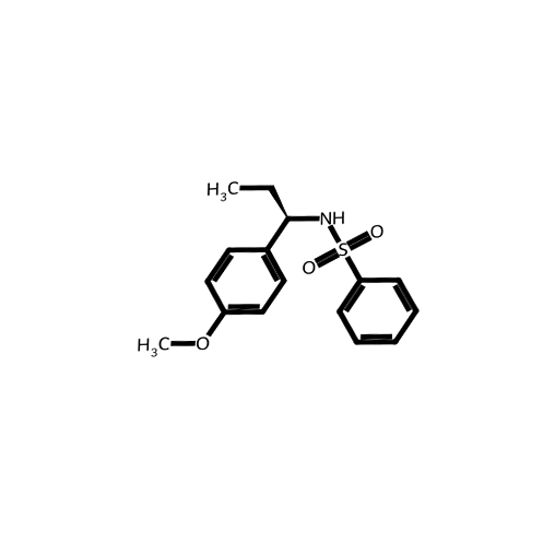 CC[C@@H](NS(=O)(=O)c1ccccc1)c1ccc(OC)cc1